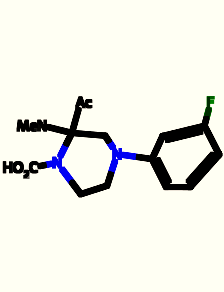 CNC1(C(C)=O)CN(c2cccc(F)c2)CCN1C(=O)O